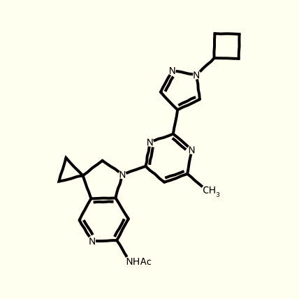 CC(=O)Nc1cc2c(cn1)C1(CC1)CN2c1cc(C)nc(-c2cnn(C3CCC3)c2)n1